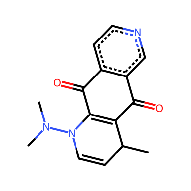 CC1C=CN(N(C)C)C2=C1C(=O)c1cnccc1C2=O